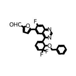 O=Cc1ccc(-c2cc3c(C4=CC=CC(F)(F)C4OCc4ccccc4)ncnc3cc2F)o1